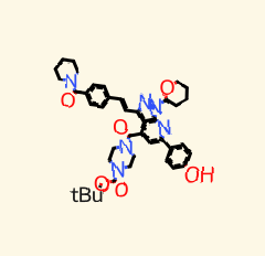 CC(C)(C)OC(=O)N1CCN(C(=O)c2cc(-c3ccc(O)cc3)nc3c2c(/C=C/c2ccc(C(=O)N4CCCCC4)cc2)nn3C2CCCCO2)CC1